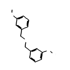 COc1cccc(CSCc2cccc(OC)c2)c1